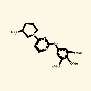 CCOC(=O)C1CCCN(c2ccnc(Nc3cc(OC)c(OC)c(OC)c3)n2)C1